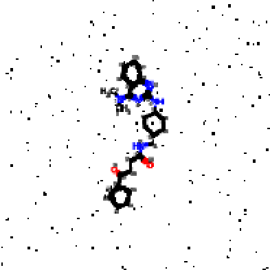 CN(C)c1nc(N[C@H]2CC[C@@H](CNC(=O)CCC(=O)c3ccccc3)CC2)nc2ccccc12